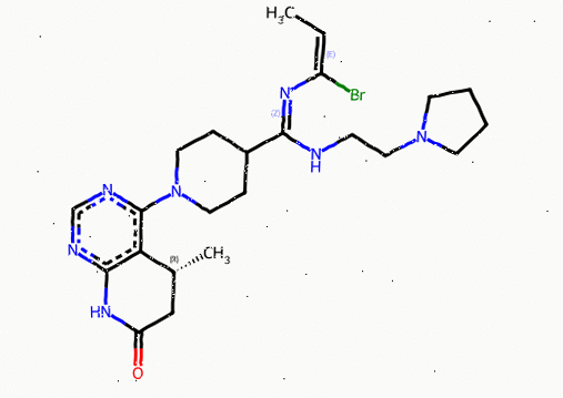 C/C=C(Br)\N=C(/NCCN1CCCC1)C1CCN(c2ncnc3c2[C@H](C)CC(=O)N3)CC1